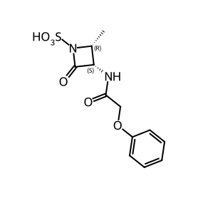 C[C@@H]1[C@H](NC(=O)COc2ccccc2)C(=O)N1S(=O)(=O)O